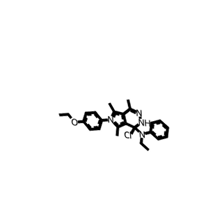 CCOc1ccc(-n2c(C)c3c(c2C)C(Cl)(N(CC)c2ccccc2)NN=C3C)cc1